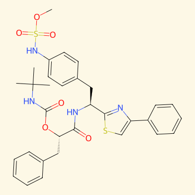 COS(=O)(=O)Nc1ccc(C[C@H](NC(=O)[C@H](Cc2ccccc2)OC(=O)NC(C)(C)C)c2nc(-c3ccccc3)cs2)cc1